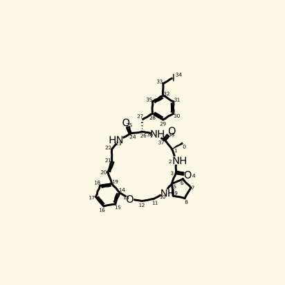 C[C@H]1NC(=O)C2(CCCC2)NCCOc2ccccc2/C=C/CNC(=O)[C@H](Cc2cccc(CI)c2)NC1=O